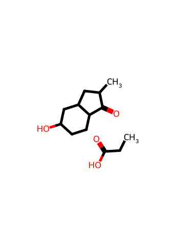 CC1CC2CC(O)CCC2C1=O.CCC(=O)O